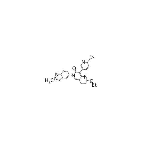 CCOc1ccc2cn(-c3ccc4nn(C)cc4c3)c(=O)c(-c3ccc(C4CC4)nc3)c2n1